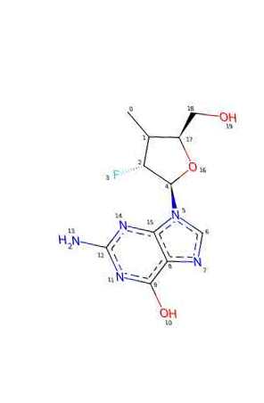 CC1[C@@H](F)[C@H](n2cnc3c(O)nc(N)nc32)O[C@@H]1CO